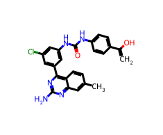 C=C(O)c1ccc(NC(=O)Nc2cc(Cl)cc(-c3nc(N)nc4cc(C)ccc34)c2)cc1